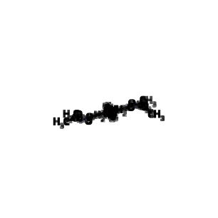 CCCCCOc1ccc(/C=C/C(=O)OCCCCCCCCOC(=O)C(C(=O)OCCCCCCCCOC(=O)/C=C/c2ccc(OCCCCC)c(OC)c2)(C(N)c2ccccc2)C(N)c2ccccc2)cc1OC